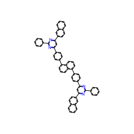 c1ccc(-c2nc(-c3ccc(-c4cccc5c(-c6ccc(-c7cc(-c8ccc9ccccc9c8)nc(-c8ccccc8)n7)cc6)cccc45)cc3)cc(-c3ccc4ccccc4c3)n2)cc1